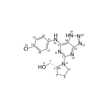 OC[C@H]1CCCN1c1nc(Nc2ccc(Cl)cc2)c2[nH]nnc2n1